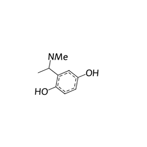 CNC(C)c1cc(O)ccc1O